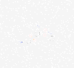 N#Cc1ccc(S(=O)(=O)c2cccc(SN3CCC[C@H]3COC(=O)Nc3ccc(F)cc3)c2)s1